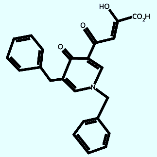 O=C(O)C(O)=CC(=O)c1cn(Cc2ccccc2)cc(Cc2ccccc2)c1=O